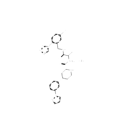 CC(NC(=O)[C@H]1C[C@@H](c2cccc(-n3cccn3)c2)CCN1)C(=O)NCc1cc(Cl)ccc1-n1cnnn1.Cl.Cl